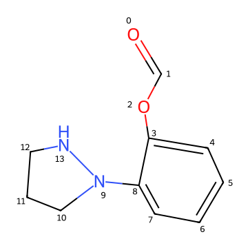 O=COc1ccccc1N1CCCN1